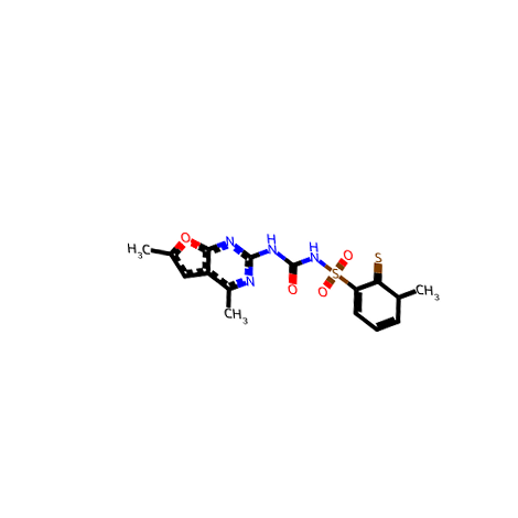 Cc1cc2c(C)nc(NC(=O)NS(=O)(=O)C3=CC=CC(C)C3=S)nc2o1